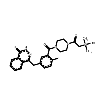 C[Si](C)(O)CC(=O)N1CCN(C(=O)c2cc(Cc3n[nH]c(=O)c4ccccc34)ccc2F)CC1